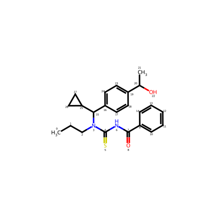 CCCN(C(=S)NC(=O)c1ccccc1)C(c1ccc(C(C)O)cc1)C1CC1